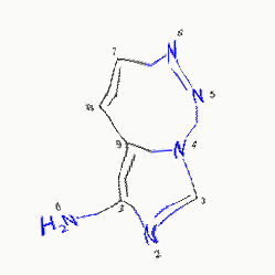 Nc1ncn2nnccc12